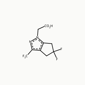 O=C(O)Cn1nc(C(F)(F)F)c2c1CC(F)(F)C2